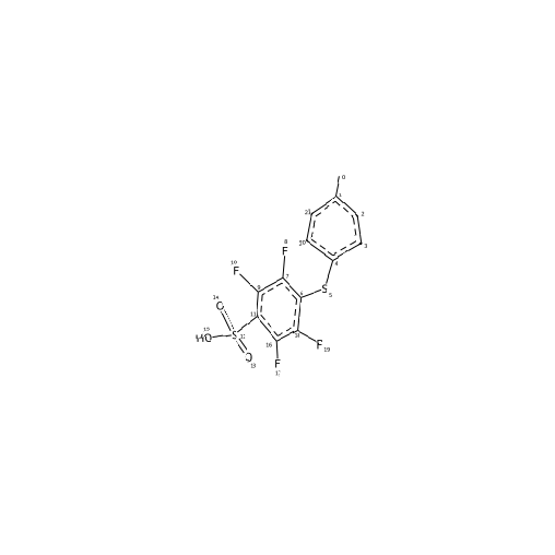 Cc1ccc(Sc2c(F)c(F)c(S(=O)(=O)O)c(F)c2F)cc1